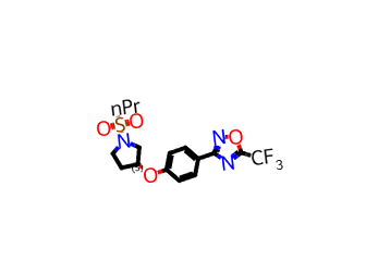 CCCS(=O)(=O)N1CC[C@H](Oc2ccc(-c3noc(C(F)(F)F)n3)cc2)C1